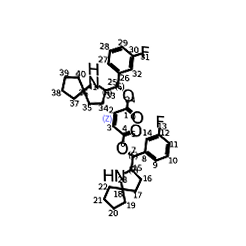 O=C(/C=C\C(=O)O[C@@H](c1cccc(F)c1)[C@H]1CCC2(CCCC2)N1)O[C@@H](c1cccc(F)c1)[C@H]1CCC2(CCCC2)N1